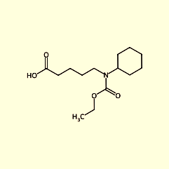 CCOC(=O)N(CCCCC(=O)O)C1CCCCC1